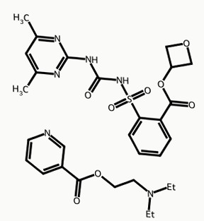 CCN(CC)CCOC(=O)c1cccnc1.Cc1cc(C)nc(NC(=O)NS(=O)(=O)c2ccccc2C(=O)OC2COC2)n1